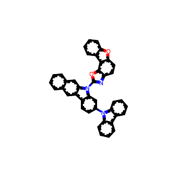 c1ccc2cc3c(cc2c1)c1ccc(-n2c4ccccc4c4ccccc42)cc1n3-c1nc2ccc3oc4ccccc4c3c2o1